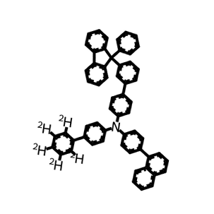 [2H]c1c([2H])c([2H])c(-c2ccc(N(c3ccc(-c4cccc(C5(c6ccccc6)c6ccccc6-c6ccccc65)c4)cc3)c3ccc(-c4cccc5ccccc45)cc3)cc2)c([2H])c1[2H]